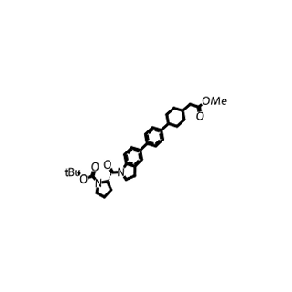 COC(=O)CC1CCC(c2ccc(-c3ccc4c(c3)CCN4C(=O)[C@@H]3CCCN3C(=O)OC(C)(C)C)cc2)CC1